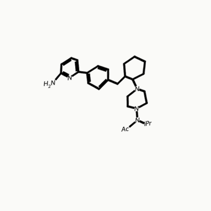 CC(=O)N(C(C)C)N1CCN(C2CCCCC2Cc2ccc(-c3cccc(N)n3)cc2)CC1